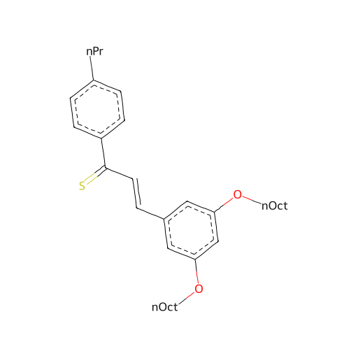 CCCCCCCCOc1cc(C=CC(=S)c2ccc(CCC)cc2)cc(OCCCCCCCC)c1